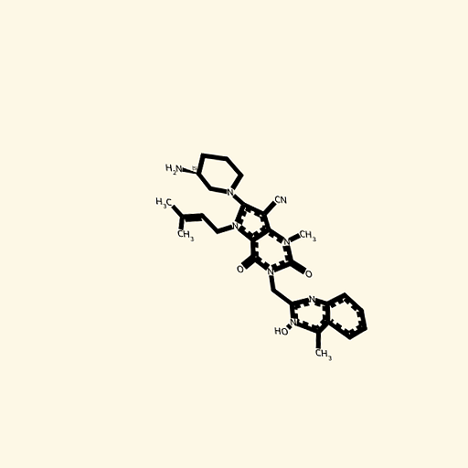 CC(C)=CCn1c(N2CCC[C@H](N)C2)c(C#N)c2c1c(=O)n(Cc1nc3ccccc3c(C)[n+]1O)c(=O)n2C